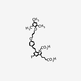 Cc1cc(C)c(OC/C=C/COc2ccc(/C=C/c3cc(F)cc4c(CCCC(=O)O)cn(CC(=O)O)c34)cc2)c(C)c1